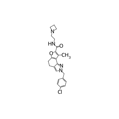 Cc1c(C(=O)NCCN2CCC2)oc2c1-c1nn(Cc3ccc(Cl)cc3)cc1CC2